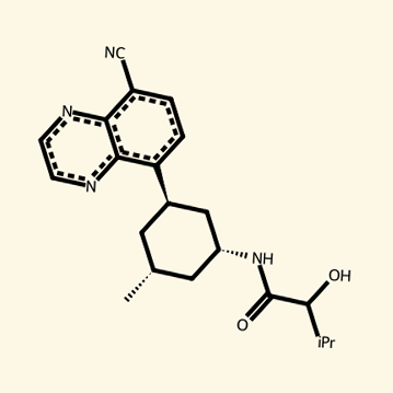 CC(C)C(O)C(=O)N[C@@H]1C[C@H](C)C[C@@H](c2ccc(C#N)c3nccnc23)C1